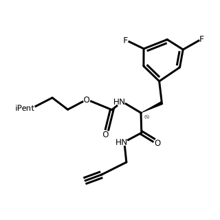 C#CCNC(=O)[C@H](Cc1cc(F)cc(F)c1)NC(=O)OCCC(C)CCC